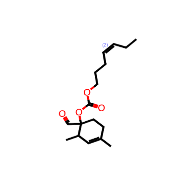 CC/C=C\CCCOC(=O)OC1(C=O)CCC(C)=CC1C